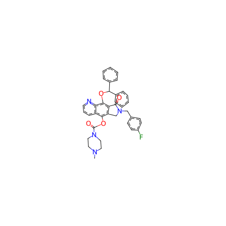 CN1CCN(C(=O)Oc2c3c(c(OC(c4ccccc4)c4ccccc4)c4ncccc24)C(=O)N(Cc2ccc(F)cc2)C3)CC1